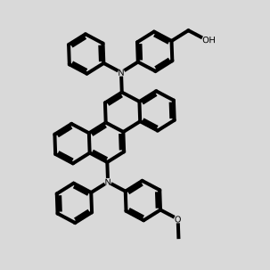 COc1ccc(N(c2ccccc2)c2cc3c4ccccc4c(N(c4ccccc4)c4ccc(CO)cc4)cc3c3ccccc23)cc1